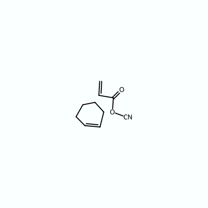 C1=CCCCC1.C=CC(=O)OC#N